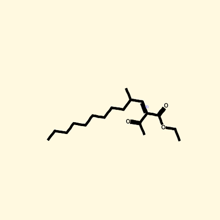 CCCCCCCCCC(C)/C=C(\C(C)=O)C(=O)OCC